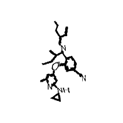 C=C/C(=C\N=C(\c1ccc(C#N)cc1Oc1cc(C)nc(NC2CC2)c1)C(C)CC)CCC